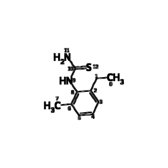 CCc1cccc(C)c1NC(N)=S